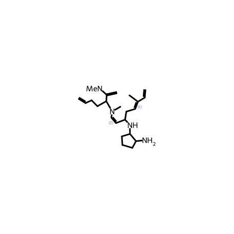 C=CCCC(C(=C)NC)N(C)/C=C\C(C/C=C(\C)C=C)NC1CCCC1N